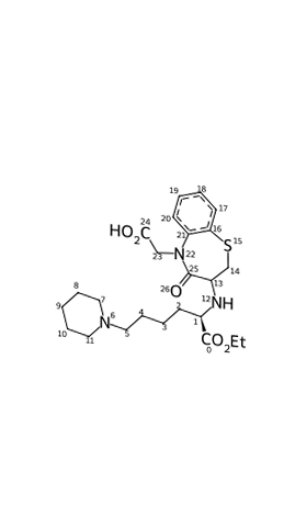 CCOC(=O)[C@@H](CCCCN1CCCCC1)NC1CSc2ccccc2N(CC(=O)O)C1=O